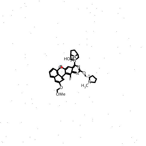 COCOc1cc(-c2c(Cl)cc3c(N4CC5CCC(C4)N5C(=O)O)nc(OC[C@@H]4CCCN4C)nc3c2F)c2c(F)cccc2c1